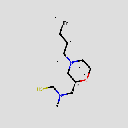 CC(C)CCCN1CCO[C@@H](CN(C)CS)C1